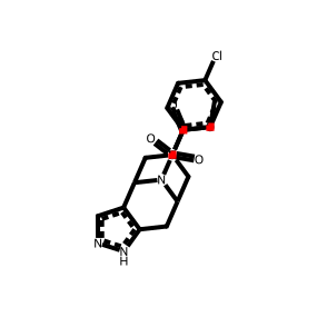 COC(=O)N1CC2Cc3[nH]ncc3C(C1)N2S(=O)(=O)c1ccc(Cl)cc1